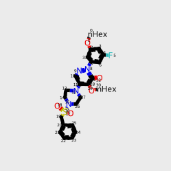 CCCCCCOc1cc(F)cc(-n2ncc(N3CCN(S(=O)(=O)Cc4ccccc4)CC3)c(OCCCCCC)c2=O)c1